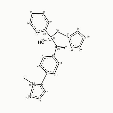 C[C@@H](c1ccc(-c2ccnn2C)cc1)[C@](O)(Cn1cncn1)c1ccccc1